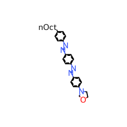 CCCCCCCCc1ccc(N=Nc2ccc(N=Nc3ccc(N4CCOC4)cc3)cc2)cc1